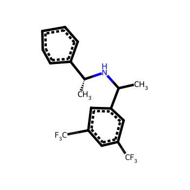 CC(N[C@H](C)c1ccccc1)c1cc(C(F)(F)F)cc(C(F)(F)F)c1